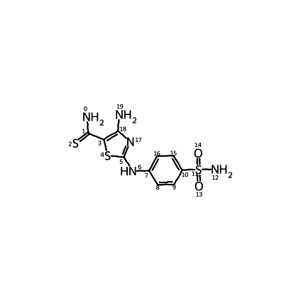 NC(=S)c1sc(Nc2ccc(S(N)(=O)=O)cc2)nc1N